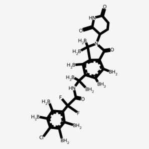 Bc1c(B)c(C(F)(F)C(=O)NC(B)(B)c2c(B)c(B)c3c(c2B)C(B)(B)N(C2CCC(=O)NC2=O)C3=O)c(B)c(B)c1Cl